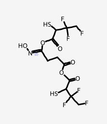 O=C(CC/C(=N/O)OC(=O)C(S)C(F)(F)CF)OC(=O)C(S)C(F)(F)CF